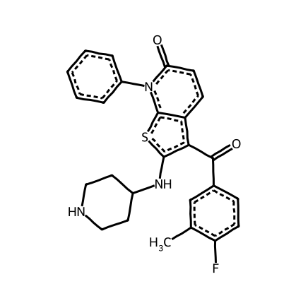 Cc1cc(C(=O)c2c(NC3CCNCC3)sc3c2ccc(=O)n3-c2ccccc2)ccc1F